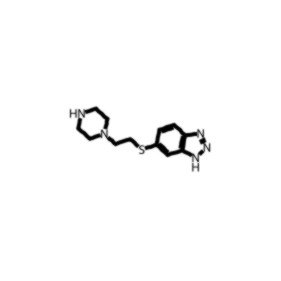 c1cc2nn[nH]c2cc1SCCN1CCNCC1